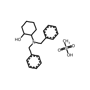 CS(=O)(=O)O.OC1CCCCC1N(Cc1ccccc1)Cc1ccccc1